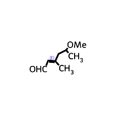 COC(C)C/C(C)=C/C=O